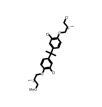 COC[C@H](C)COc1ccc(C(C)(C)c2ccc(OC[C@@H](C)CCl)c(Cl)c2)cc1Cl